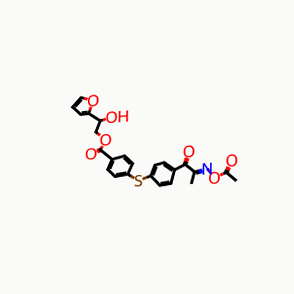 CC(=O)O/N=C(\C)C(=O)c1ccc(Sc2ccc(C(=O)OCC(O)c3ccco3)cc2)cc1